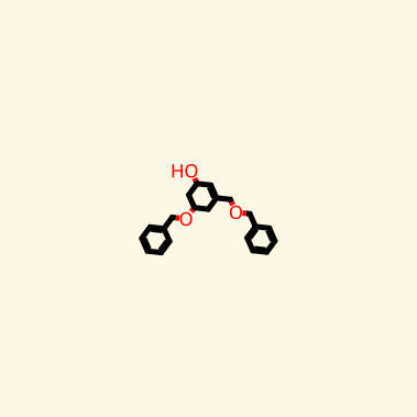 OC1C=C(COCc2ccccc2)CC(OCc2ccccc2)C1